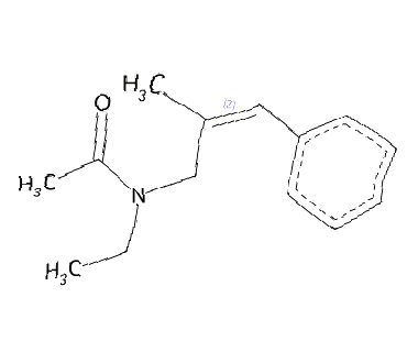 CCN(C/C(C)=C\c1ccccc1)C(C)=O